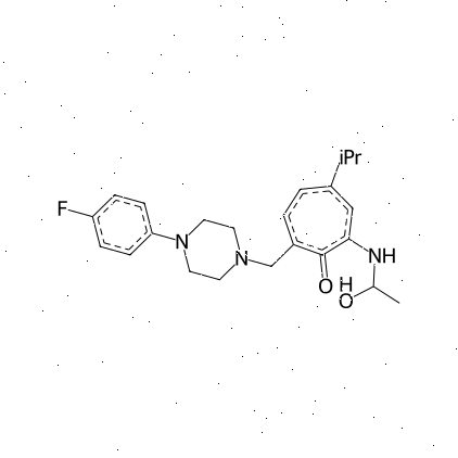 CC(O)Nc1cc(C(C)C)ccc(CN2CCN(c3ccc(F)cc3)CC2)c1=O